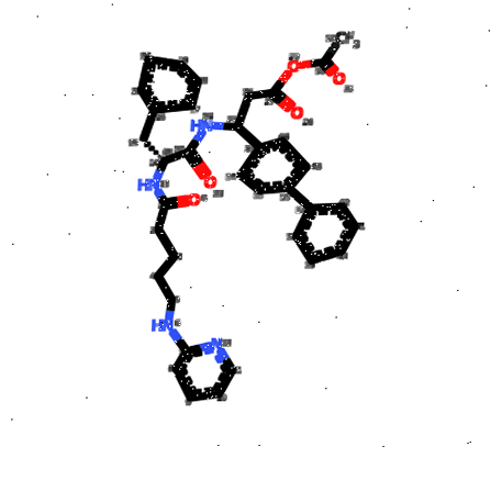 O=C(CCCCNc1ccccn1)N[C@H](Cc1ccccc1)C(=O)NC(CC(=O)OC(=O)C(F)(F)F)c1ccc(-c2ccccc2)cc1